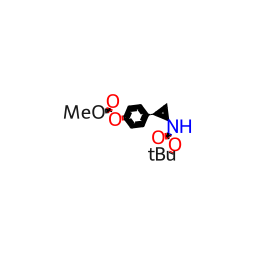 COC(=O)Oc1ccc([C@@H]2C[C@H]2NC(=O)OC(C)(C)C)cc1